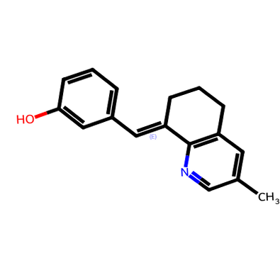 Cc1cnc2c(c1)CCC/C2=C\c1cccc(O)c1